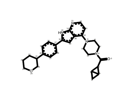 O=C(C1C2CC21)N1CCN(c2ccnc3[nH]c(-c4ccc(C5CCCOC5)cc4)cc23)CC1